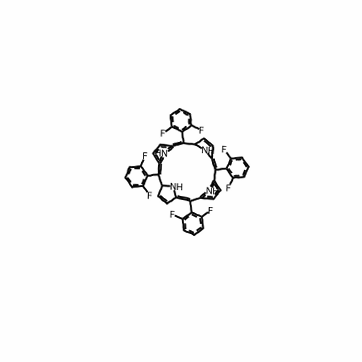 Fc1cccc(F)c1/C1=C2\C=CC(N2)/C(c2c(F)cccc2F)=c2/cc/c([nH]2)=C(\c2c(F)cccc2F)C2C=C/C(=C(\c3c(F)cccc3F)c3ccc1[nH]3)N2